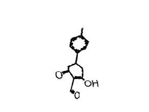 Cc1ccc(C2CC(=O)C(C=O)=C(O)C2)cc1